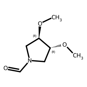 CO[C@@H]1CN(C=O)C[C@H]1OC